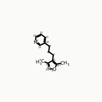 Cc1noc(C)c1C[CH]Cc1cccnc1